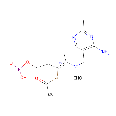 CCC(C)C(=O)S/C(CCOP(O)O)=C(/C)N(C=O)Cc1cnc(C)nc1N